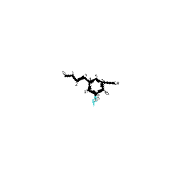 CC/C=C/c1cc(C)cc(F)c1